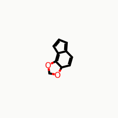 C1=CC2=C3OCOC3C=CC2=C1